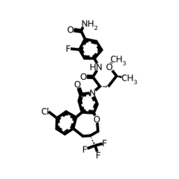 CO[C@@H](C)C[C@@H](C(=O)Nc1ccc(C(N)=O)c(F)c1)n1cc2c(cc1=O)-c1cc(Cl)ccc1C[C@@H](C(F)(F)F)CO2